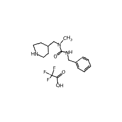 CN(CC1CCNCC1)C(=O)NCc1ccccc1.O=C(O)C(F)(F)F